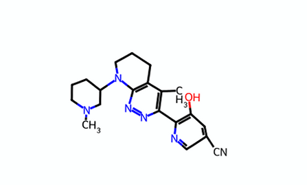 Cc1c(-c2ncc(C#N)cc2O)nnc2c1CCCN2C1CCCN(C)C1